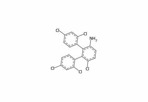 Nc1ccc(Cl)c(-c2ccc(Cl)cc2Cl)c1-c1ccc(Cl)cc1Cl